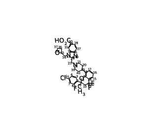 CC1(c2ccc(Cl)cc2F)CC(F)(F)c2cccc(C3CCN(Cc4nc5ccc(C(=O)O)cc5n4CC4CCO4)CC3)c2O1